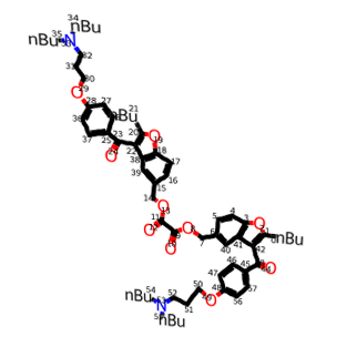 CCCCc1oc2ccc(COC(=O)C(=O)OCc3ccc4oc(CCCC)c(C(=O)c5ccc(OCCCN(CCCC)CCCC)cc5)c4c3)cc2c1C(=O)c1ccc(OCCCN(CCCC)CCCC)cc1